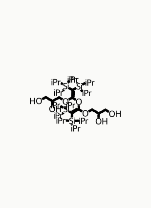 CC(C)[Si](C(=C(OCC(O)CO)OC(OCC(O)CO)=C([Si](C(C)C)(C(C)C)C(C)C)[Si](C(C)C)(C(C)C)C(C)C)[Si](C(C)C)(C(C)C)C(C)C)(C(C)C)C(C)C